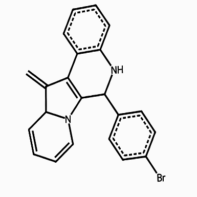 C=C1C2=C(C(c3ccc(Br)cc3)Nc3ccccc32)N2C=CC=CC12